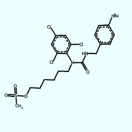 CCCCc1ccc(CNC(=O)N(CCCCCCOS(C)(=O)=O)c2c(Cl)cc(Cl)cc2Cl)cc1